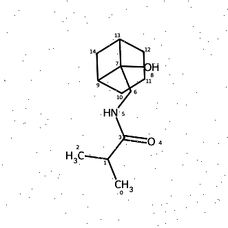 CC(C)C(=O)NCC1(O)C2CCCC1C2